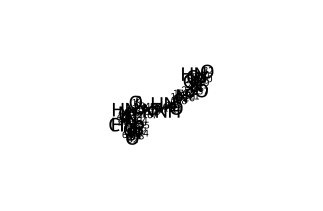 COc1cc(N2CCC(NCCNC(=O)[C@@H]3CCN(c4ccc5c(c4)C(=O)N(C4CCC(=O)NC4=O)C5=O)C3)CC2)ccc1Nc1ncc(Cl)c(Nc2cccc3c2N(S(C)(=O)=O)CC3)n1